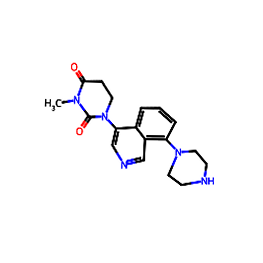 CN1C(=O)CCN(c2cncc3c(N4CCNCC4)cccc23)C1=O